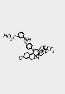 C[C@]12C[C@H](c3ccc(CNc4cccc(C(=O)O)c4)cc3)C3=C4CCC(=O)C=C4CC[C@H]3[C@@H]1CC[C@@]2(O)C(F)(F)C(F)(F)F